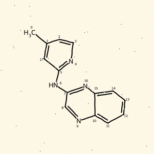 Cc1ccnc(Nc2cnc3ccccc3n2)c1